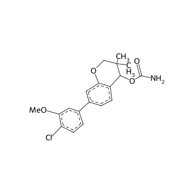 COc1cc(-c2ccc3c(c2)OCC(C)(C)C3OC(N)=O)ccc1Cl